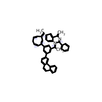 C=C(/N=C(\N=C(/C)c1cc(C2=C/C(=C/C)/C=C\C/C=C\2)cc(-c2ccc3ccc4ccccc4c3c2)c1)c1ccccc1)c1ccccc1